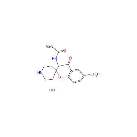 CNC(=O)NC1C(=O)c2cc(C(=O)O)ccc2OC12CCNCC2.Cl